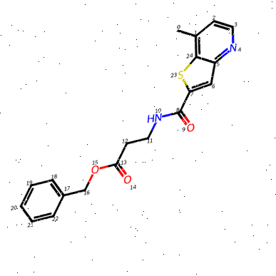 Cc1ccnc2cc(C(=O)NCCC(=O)OCc3ccccc3)sc12